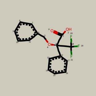 O=C(O)[C@@](OCc1ccccc1)(c1ccccc1)C(F)(F)F